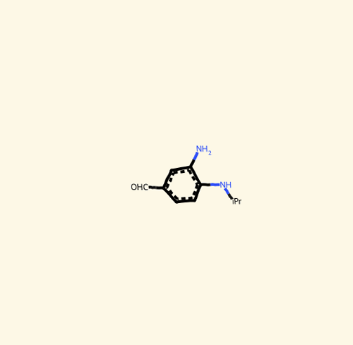 CC(C)Nc1ccc(C=O)cc1N